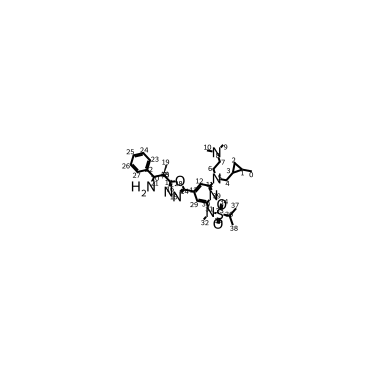 CC1CC1CN(CCN(C)C)c1cc(-c2nnc([C@H](C)C(N)c3ccccc3)o2)cc(N(C)S(=O)(=O)C(C)C)n1